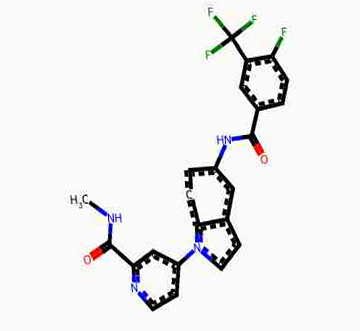 CNC(=O)c1cc(-n2ccc3cc(NC(=O)c4ccc(F)c(C(F)(F)F)c4)ccc32)ccn1